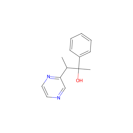 CC(c1cnccn1)C(C)(O)c1ccccc1